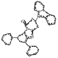 O=c1nc(-n2c3ccccc3c3ccccc32)nc2sc3c(-c4ccccc4)cc(-c4ccccc4)cc3n12